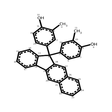 Cc1cc(C2(c3ccc(O)c(C)c3)c3ccccc3-c3cc4ccccc4cc32)ccc1O